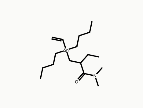 C=[CH][Sn]([CH2]CCC)([CH2]CCC)[CH2]C(CC)C(=O)N(C)C